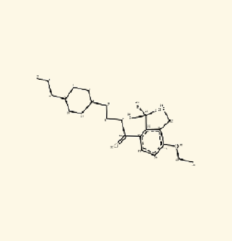 CCCC1CCC(CCCC(=O)c2ccc(OCC)c(CF)c2C(F)(F)F)CC1